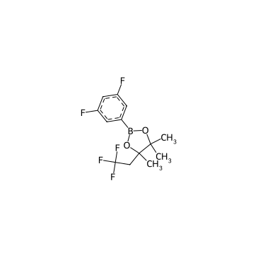 CC1(C)OB(c2cc(F)cc(F)c2)OC1(C)CC(F)(F)F